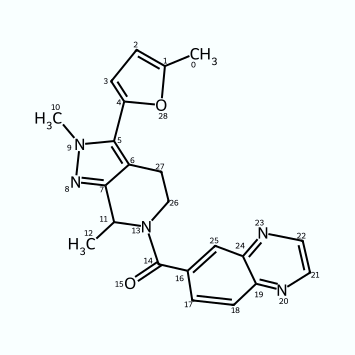 Cc1ccc(-c2c3c(nn2C)C(C)N(C(=O)c2ccc4nccnc4c2)CC3)o1